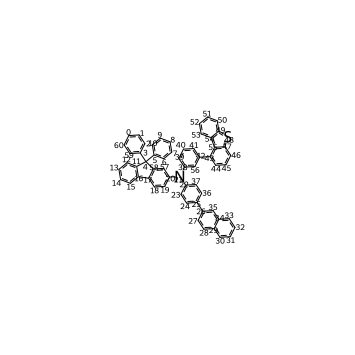 c1ccc(C2(c3ccccc3)c3ccccc3-c3ccc(N(c4ccc(-c5ccc6ccccc6c5)cc4)c4cccc(-c5cccc6sc7ccccc7c56)c4)cc32)cc1